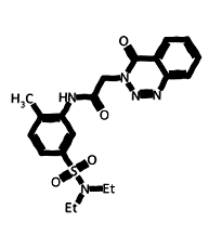 CCN(CC)S(=O)(=O)c1ccc(C)c(NC(=O)Cn2nnc3ccccc3c2=O)c1